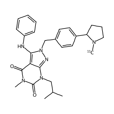 CC(C)Cn1c(=O)n(C)c(=O)c2c(Nc3ccccc3)n(Cc3ccc(C4CCCN4[11CH3])cc3)nc21